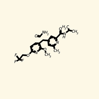 COc1nc(OCC(F)(F)F)ccc1Cc1cc(C)nc(C(=O)NC(C)C)c1.NC=O